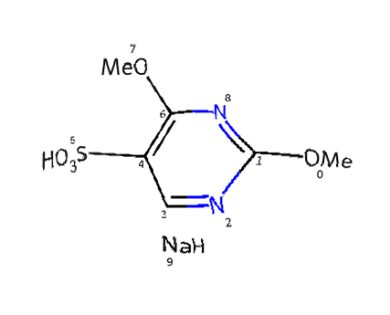 COc1ncc(S(=O)(=O)O)c(OC)n1.[NaH]